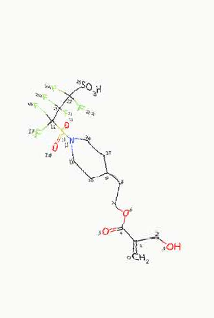 C=C(CO)C(=O)OCCC1CCN(S(=O)(=O)C(F)(F)C(F)(F)C(F)(F)S(=O)(=O)O)CC1